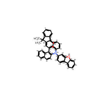 CC1(C)c2ccccc2-c2ccc(-c3c(N(c4ccccc4)c4ccc5c(c4)oc4ccccc45)ccc4ccccc34)cc21